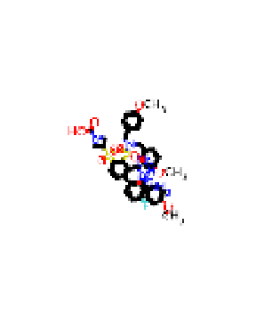 COc1ccc(CN(Cc2ccc(OC)cc2)S(=O)(=O)c2c(S(=O)(=O)C3CN(C(=O)O)C3)ccc(-c3ccc(F)c(N)c3N)c2-c2nnnn2Cc2ccc(OC)cc2)cc1